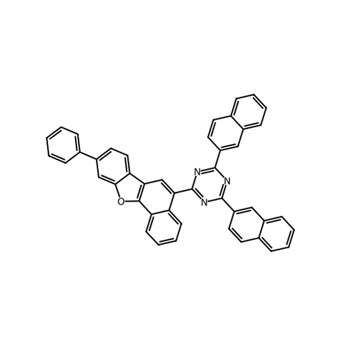 c1ccc(-c2ccc3c(c2)oc2c4ccccc4c(-c4nc(-c5ccc6ccccc6c5)nc(-c5ccc6ccccc6c5)n4)cc32)cc1